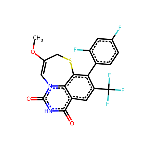 COC1=Cn2c(=O)[nH]c(=O)c3cc(C(F)(F)F)c(-c4ccc(F)cc4F)c(c32)SC1